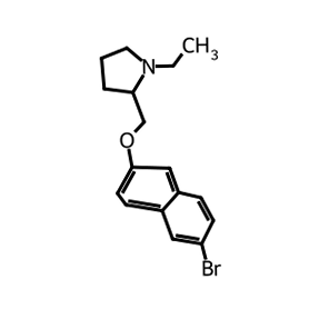 CCN1CCCC1COc1ccc2cc(Br)ccc2c1